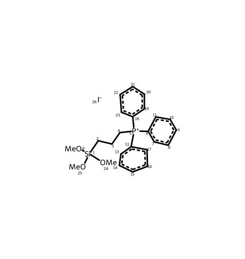 CO[Si](CCC[P+](c1ccccc1)(c1ccccc1)c1ccccc1)(OC)OC.[I-]